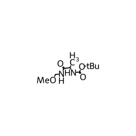 COCNC(=O)C(C)NC(=O)OC(C)(C)C